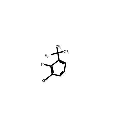 CC(C)(C)c1cccc(Cl)c1Br